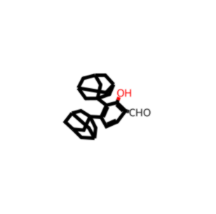 O=Cc1ccc(C23CC4CC(CC(C4)C2)C3)c(C23CC4CC(CC(C4)C2)C3)c1O